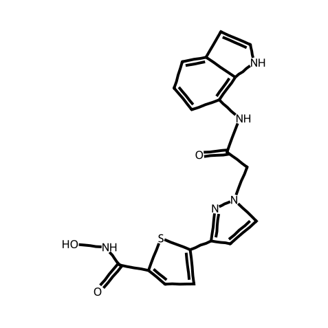 O=C(Cn1ccc(-c2ccc(C(=O)NO)s2)n1)Nc1cccc2cc[nH]c12